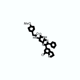 COc1ccc(CC(=O)Nc2cc3nc(-c4cc(Cl)c5ncccc5c4)c(-c4ccccc4)nc3[nH]c2=O)cc1